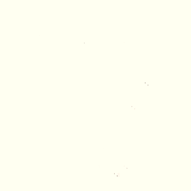 Cc1cc(-c2n[nH]c(=O)o2)cnc1CN1CCC(c2cccc3c2OC(C)(c2ccc(Cl)cc2F)O3)CC1